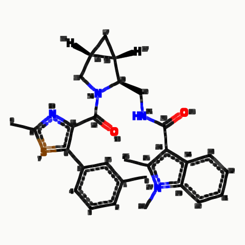 Cc1cccc(-c2sc(C)nc2C(=O)N2C[C@@H]3C[C@@H]3[C@H]2CNC(=O)c2c(C)n(C)c3ccccc23)c1